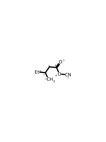 CCC(C)CC(=O)OC#N